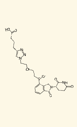 O=C(O)CCCc1cn(CCOCC[S+]([O-])c2cccc3c2CN(C2CCC(=O)NC2=O)C3=O)nn1